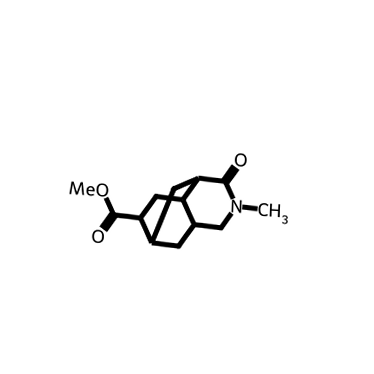 COC(=O)C1CC2C3CC1CC2C(=O)N(C)C3